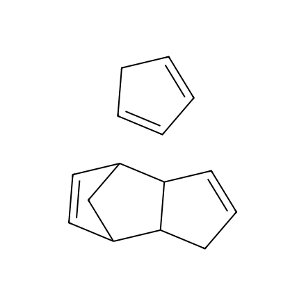 C1=CC2C3C=CC(C3)C2C1.C1=CCC=C1